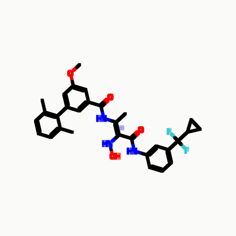 COc1cc(C(=O)N/C(C)=C(\NO)C(=O)Nc2cccc(C(F)(F)C3CC3)c2)cc(-c2c(C)cccc2C)c1